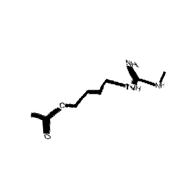 CNC(=N)NCCCCOC(C)=O